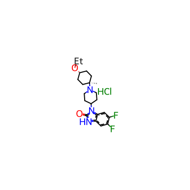 CCO[C@H]1CC[C@](C)(N2CCC(n3c(=O)[nH]c4cc(F)c(F)cc43)CC2)CC1.Cl